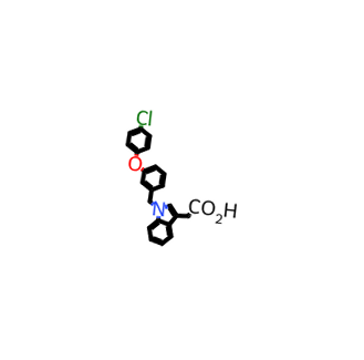 O=C(O)Cc1cn(Cc2cccc(Oc3ccc(Cl)cc3)c2)c2ccccc12